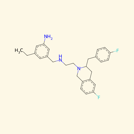 CCc1cc(N)cc(CNCCN2Cc3ccc(F)cc3CC2Cc2ccc(F)cc2)c1